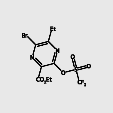 CCOC(=O)c1nc(Br)c(CC)nc1OS(=O)(=O)C(F)(F)F